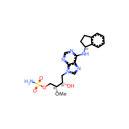 CO[C@H](COS(N)(=O)=O)[C@@H](O)Cn1cnc2c(N[C@H]3CCc4ccccc43)ncnc21